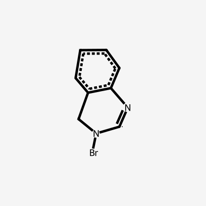 BrN1[C]=Nc2ccccc2C1